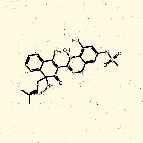 CONC1(CC=C(C)C)C(=O)C(C2=NSc3cc(NS(C)(=O)=O)cc(O)c3N2O)=C(O)c2ccccc21